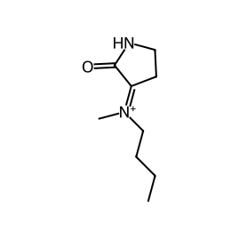 CCCC[N+](C)=C1CCNC1=O